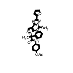 CC(=O)O[C@H]1CC[C@@H](NC(=O)C(C)(c2ccccc2)n2ncc3c2nc(N)n2nc(-c4ccco4)nc32)CC1